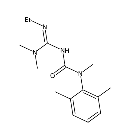 CCN=C(NC(=O)N(C)c1c(C)cccc1C)N(C)C